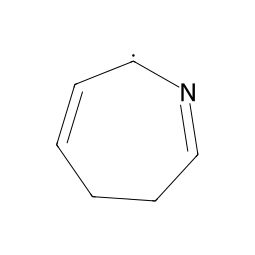 [CH]1C=CCCC=N1